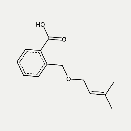 CC(C)=CCOCc1ccccc1C(=O)O